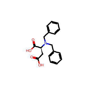 O=C(O)C[C@@H](C(=O)O)N(Cc1ccccc1)Cc1ccccc1